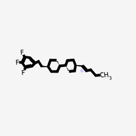 CCC/C=C/[C@H]1CC[C@H]([C@H]2CC[C@H](CCc3cc(F)c(F)c(F)c3)CC2)CC1